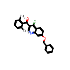 Cc1cccc(C)c1C(=O)c1cnc2cc(OCc3ccccc3)ccc2c1Cl